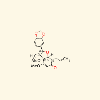 C=CC[C@@H]1C(=O)C=C(OC)[C@@]2(OC)[C@H](C)[C@@H](c3ccc4c(c3)OCO4)O[C@@H]12